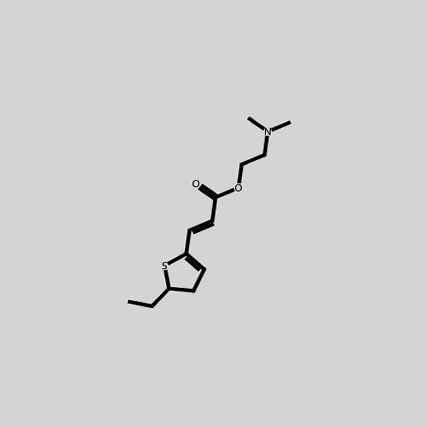 CCC1CC=C(/C=C/C(=O)OCCN(C)C)S1